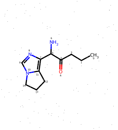 CCCC(=O)C(N)c1ncn2c1CCC2